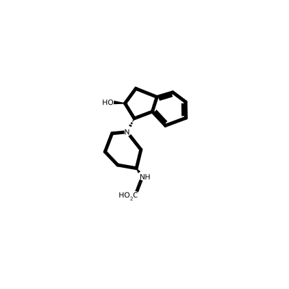 O=C(O)N[C@@H]1CCCN([C@H]2c3ccccc3C[C@@H]2O)C1